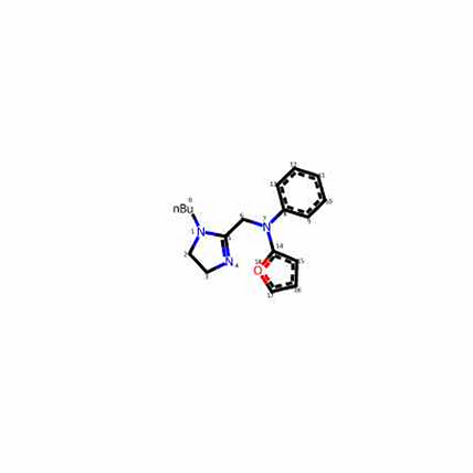 CCCCN1CCN=C1CN(c1ccccc1)c1ccco1